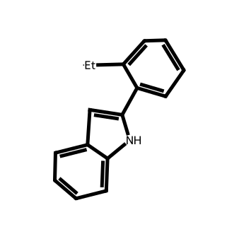 C[CH]c1ccccc1-c1cc2ccccc2[nH]1